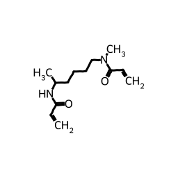 C=CC(=O)NC(C)CCCCN(C)C(=O)C=C